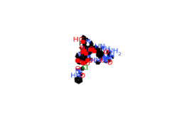 CC[C@]1(O)C[C@H]2CN(CCc3c([nH]c4ccccc34)[C@@](C(=O)OC)(c3cc4c(cc3OC)N(C=O)[C@H]3[C@@](O)(C(=O)OC)[C@H](OC(C)=O)[C@]5(CC)C=CCN6CC[C@]43[C@@H]65)C2)C1.CNNCc1ccc(C(=O)NC(C)C)cc1.Cn1nnc2c(C(N)=O)ncn2c1=O.O=NN(CCCl)C(=O)NC1CCCCC1